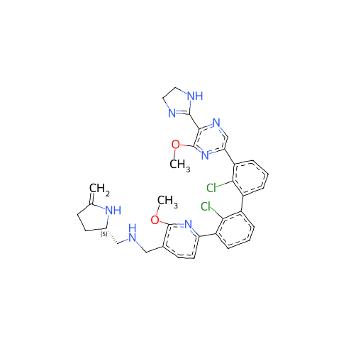 C=C1CC[C@@H](CNCc2ccc(-c3cccc(-c4cccc(-c5cnc(C6=NCCN6)c(OC)n5)c4Cl)c3Cl)nc2OC)N1